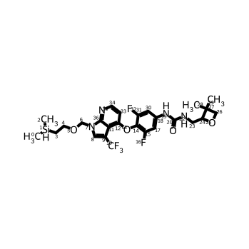 C[SiH](C)CCOCn1cc(C(F)(F)F)c2c(Oc3c(F)cc(NC(=O)NCC4OCC4(C)C)cc3F)ccnc21